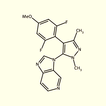 COc1cc(F)c(-c2c(C)nn(C)c2-n2cnc3ccncc32)c(F)c1